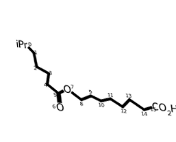 CC(C)CCCCC(=O)OCCCCCCCC(=O)O